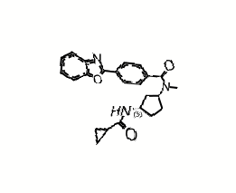 CN(C(=O)c1ccc(-c2nc3ccccc3o2)cc1)C1CC[C@H](NC(=O)C2CC2)C1